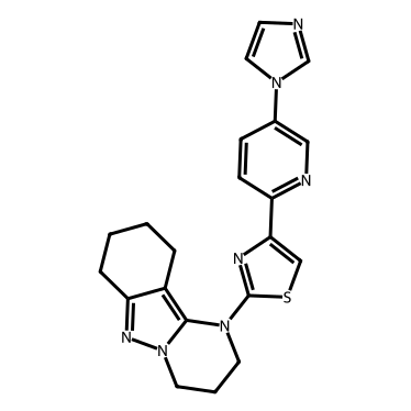 c1cn(-c2ccc(-c3csc(N4CCCn5nc6c(c54)CCCC6)n3)nc2)cn1